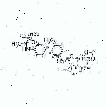 CCCCS(=O)(=O)N(C)Nc1ccc(-c2cc(NC(=O)C3(c4ccc5c(c4)OCO5)CC3)ccc2C)cc1